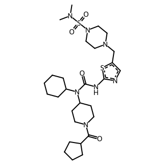 CN(C)S(=O)(=O)N1CCN(Cc2cnc(NC(=O)N(C3CCCCC3)C3CCN(C(=O)C4CCCC4)CC3)s2)CC1